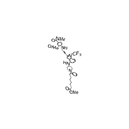 CNC(=O)c1ccc(NCC#Cc2cc3c(NC4CCN(C(=O)CCCCCCC(=O)OC)CC4)cccc3n2CC(F)(F)F)c(OC)c1